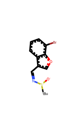 CC(C)(C)[S+]([O-])/N=C\c1coc2c(Br)cccc12